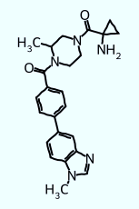 CC1CN(C(=O)C2(N)CC2)CCN1C(=O)c1ccc(-c2ccc3c(c2)ncn3C)cc1